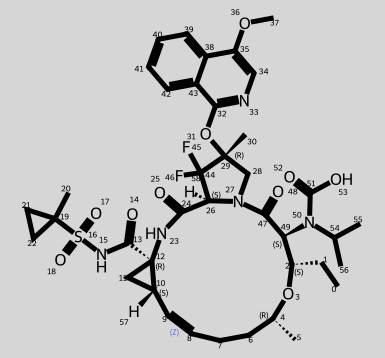 CC[C@@H]1O[C@H](C)CC/C=C\[C@@H]2C[C@@]2(C(=O)NS(=O)(=O)C2(C)CC2)NC(=O)[C@@H]2N(C[C@@](C)(Oc3ncc(OC)c4ccccc34)C2(F)F)C(=O)[C@H]1N(C(=O)O)C(C)C